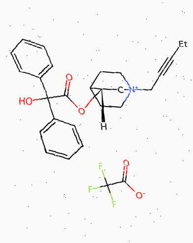 CCC#CC[N+]12CCC(CC1)[C@@H](OC(=O)C(O)(c1ccccc1)c1ccccc1)C2.O=C([O-])C(F)(F)F